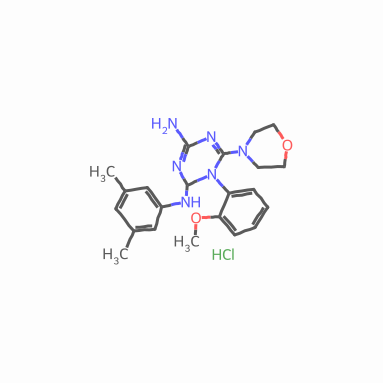 COc1ccccc1N1C(N2CCOCC2)=NC(N)=NC1Nc1cc(C)cc(C)c1.Cl